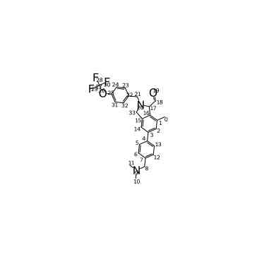 Cc1cc(-c2ccc(CN(C)C)cc2)cc2c1C(C=O)N(Cc1ccc(OC(F)(F)F)cc1)C2